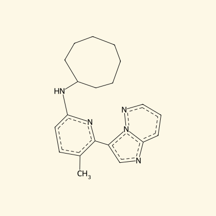 Cc1ccc(NC2CCCCCCC2)nc1-c1cnc2cccnn12